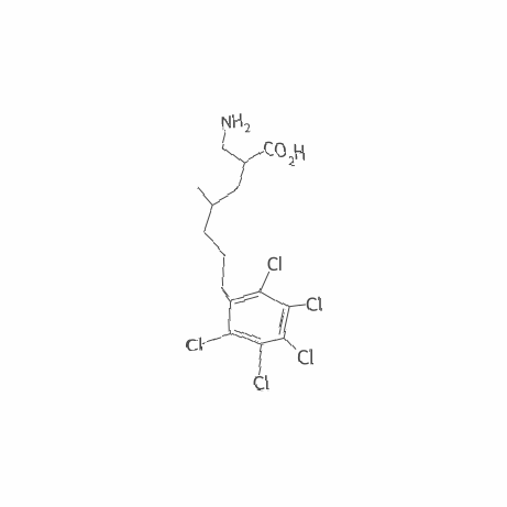 CC(CCCc1c(Cl)c(Cl)c(Cl)c(Cl)c1Cl)CC(CN)C(=O)O